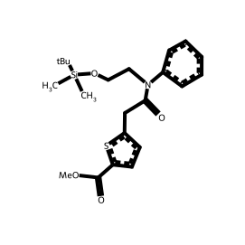 COC(=O)c1ccc(CC(=O)N(CCO[Si](C)(C)C(C)(C)C)c2ccccc2)s1